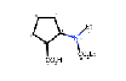 CCOC(=O)N(CC)C1CCCC1C(=O)O